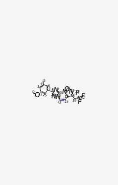 COc1cc(C)cc(-c2ncn(/C=C\c3nonc3CC(F)(F)F)n2)c1